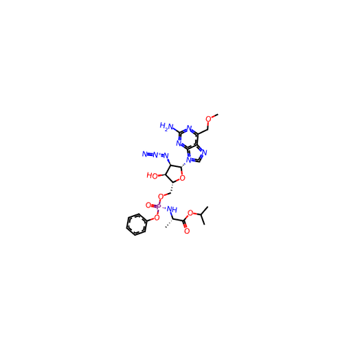 COCc1nc(N)nc2c1ncn2[C@@H]1O[C@H](CO[P@@](=O)(N[C@@H](C)C(=O)OC(C)C)Oc2ccccc2)[C@@H](O)[C@H]1N=[N+]=[N-]